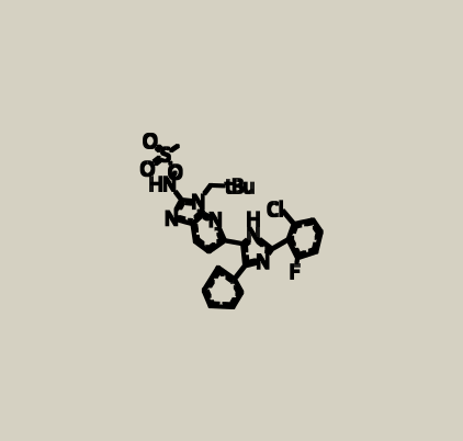 CC(C)(C)Cn1c(NOS(C)(=O)=O)nc2ccc(-c3[nH]c(-c4c(F)cccc4Cl)nc3-c3ccccc3)nc21